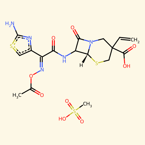 C=CC1(C(=O)O)CS[C@@H]2C(NC(=O)C(=NOC(C)=O)c3csc(N)n3)C(=O)N2C1.CS(=O)(=O)O